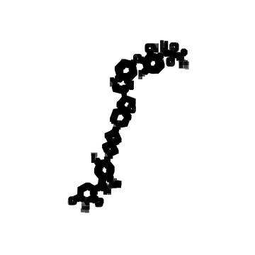 CCN(C)S(=O)(=O)Nc1ccc(F)c(Oc2ccc3ncc([C@H]4COC5(CCN(C6CC7(C6)CN(c6cc8c(cc6F)c(N6CCC(=O)NC6=O)nn8C)C7)CC5)C4)nc3c2)c1C#N